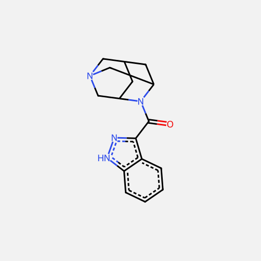 O=C(c1n[nH]c2ccccc12)N1C2CC3CC1CN(C3)C2